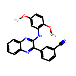 COc1ccc(OC)c(Nc2nc3ccccc3nc2-c2cccc(C#N)c2)c1